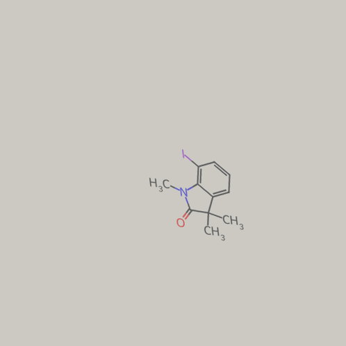 CN1C(=O)C(C)(C)c2cccc(I)c21